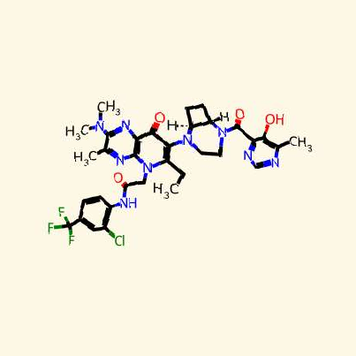 CCc1c(N2CCN(C(=O)c3ncnc(C)c3O)[C@H]3CC[C@@H]32)c(=O)c2nc(N(C)C)c(C)nc2n1CC(=O)Nc1ccc(C(F)(F)F)cc1Cl